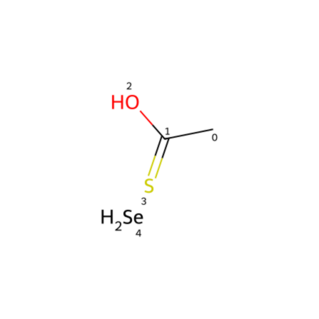 CC(O)=S.[SeH2]